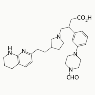 O=CN1CCN(c2cccc(C(CC(=O)O)CN3CCC(CCc4ccc5c(n4)NCCC5)C3)c2)CC1